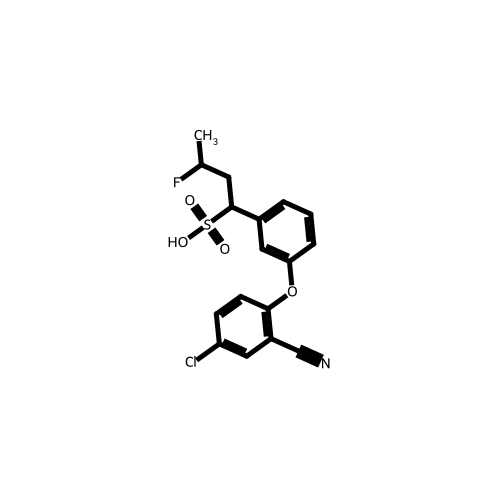 CC(F)CC(c1cccc(Oc2ccc(Cl)cc2C#N)c1)S(=O)(=O)O